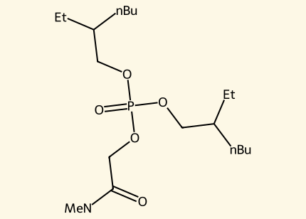 CCCCC(CC)COP(=O)(OCC(=O)NC)OCC(CC)CCCC